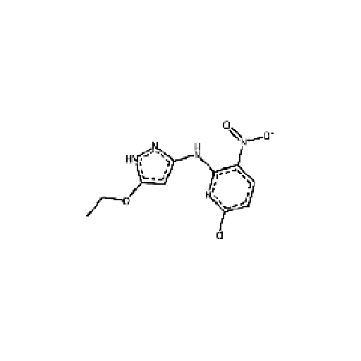 CCOc1cc(Nc2nc(Cl)ccc2[N+](=O)[O-])n[nH]1